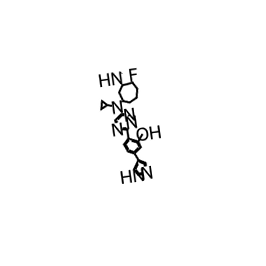 CN[C@H]1C[C@@H](N(c2cnc(-c3ccc(-c4cn[nH]c4)cc3O)nn2)C2CC2)CCC[C@H]1F